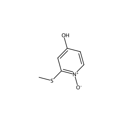 CSc1cc(O)cc[n+]1[O-]